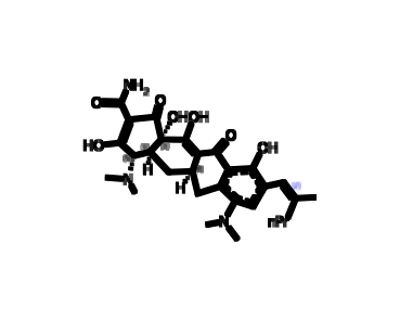 CCC/C(C)=C\c1cc(N(C)C)c2c(c1O)C(=O)C1=C(O)[C@]3(O)C(=O)C(C(N)=O)=C(O)[C@@H](N(C)C)[C@@H]3C[C@@H]1C2